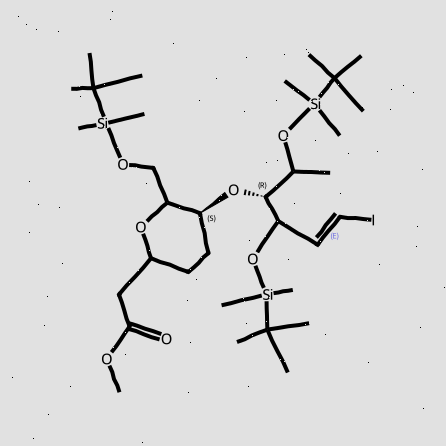 COC(=O)CC1CC[C@H](O[C@H](C(C)O[Si](C)(C)C(C)(C)C)C(/C=C/I)O[Si](C)(C)C(C)(C)C)C(CO[Si](C)(C)C(C)(C)C)O1